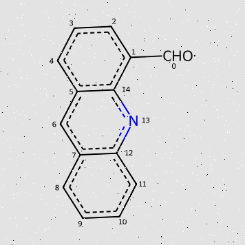 O=[C]c1cccc2cc3ccccc3nc12